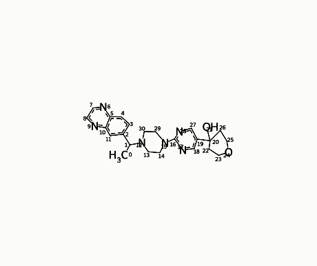 CC(c1ccc2nccnc2c1)N1CCN(c2ncc(C3(O)CCOCC3)cn2)CC1